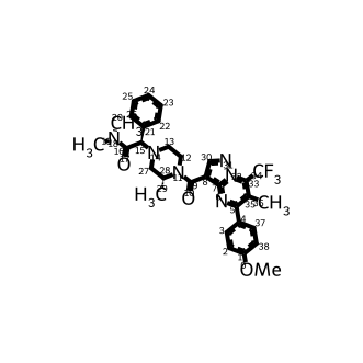 COc1ccc(-c2nc3c(C(=O)N4CCN([C@@H](C(=O)N(C)C)c5ccccc5)C[C@H]4C)cnn3c(C(F)(F)F)c2C)cc1